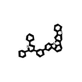 c1ccc(-c2cc(-c3cccc(-c4ccc5c(c4)c4cccc6c7cc8sc9ccccc9c8cc7n5c46)c3)cc(-c3ccccc3)n2)cc1